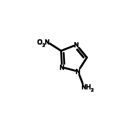 Nn1cnc([N+](=O)[O-])n1